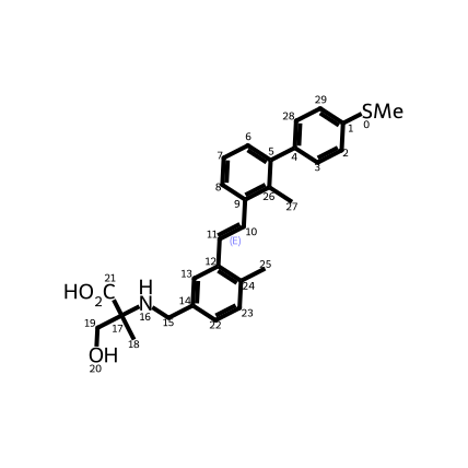 CSc1ccc(-c2cccc(/C=C/c3cc(CNC(C)(CO)C(=O)O)ccc3C)c2C)cc1